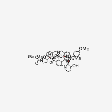 COc1ccc(CN(Cc2ccc(OC)cc2)S(=O)(=O)c2c(S(=O)(=O)NC3CCN(C(=O)OC(C)(C)C)C3)ccc(N3CCCC(O)C3=O)c2-c2nnn(Cc3ccc(OC)cc3)n2)cc1